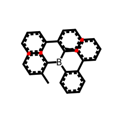 Cc1ccccc1B(c1ccccc1-c1ccccc1)c1ccccc1-c1ccccc1C